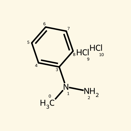 CN(N)c1ccccc1.Cl.Cl